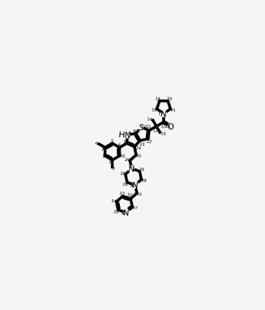 Cc1cc(C)cc(-c2[nH]c3sc(C(C)(C)C(=O)N4CCCC4)cc3c2CCN2CCN(Cc3cccnc3)CC2)c1